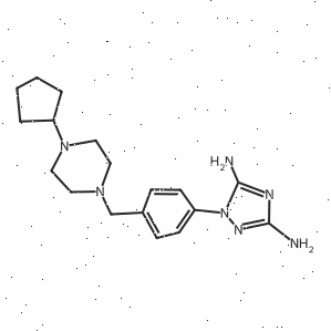 Nc1nc(N)n(-c2ccc(CN3CCN(C4CCCC4)CC3)cc2)n1